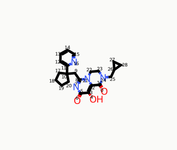 O=C1c2c(O)c(=O)nc(CC3(c4ccccn4)CCCC3)n2CCN1CC1CC1